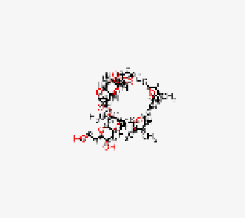 C=C1CC2CC[C@@]34CC5O[C@H]6[C@@H](O3)[C@H]3OC(CC[C@@H]3O[C@H]6[C@H]5O4)CC(=O)O[C@H]3[C@H](C[C@H]4O[C@@H](CC[C@@H]1O2)C[C@@H](C)C4=C)OC1C[C@@H](O)C(CCO)OC1[C@@H]3C